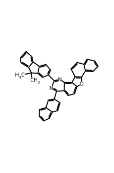 CC1(C)c2ccccc2-c2ccc(-c3nc(-c4ccc5ccccc5c4)c4ccc5oc6c7ccccc7ccc6c5c4n3)cc21